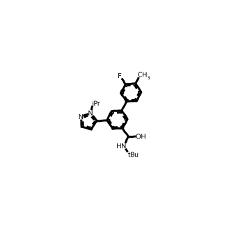 Cc1ccc(-c2cc(-c3ccnn3C(C)C)cc(C(O)NC(C)(C)C)c2)cc1F